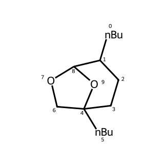 CCCCC1CCC2(CCCC)COC1O2